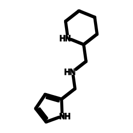 c1c[nH]c(CNCC2CCCCN2)c1